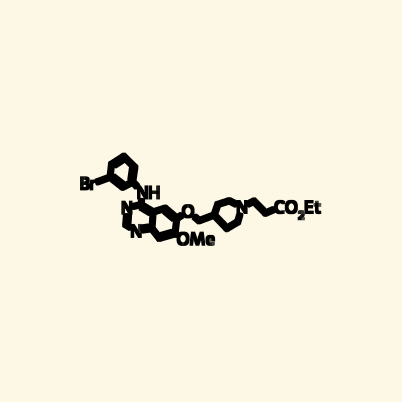 CCOC(=O)CCN1CCC(COc2cc3c(Nc4cccc(Br)c4)ncnc3cc2OC)CC1